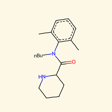 CCCCN(C(=O)C1CCCCN1)c1c(C)cccc1C